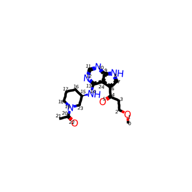 COCCC(=O)c1c[nH]c2ncnc(N[C@@H]3CCCN(C(C)=O)C3)c12